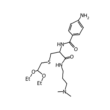 CCOC(CSCC(NC(=O)c1ccc(N)cc1)C(=O)NCCCN(C)C)OCC